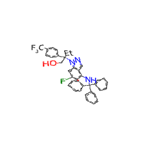 CCC(CO)(c1ccc(C(F)(F)F)cc1)n1ncc2c(NC(c3ccccc3)(c3ccccc3)c3ccccc3)cc(F)cc21